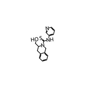 OCC1Cc2ccccc2CN1C(=S)Nc1cccnc1